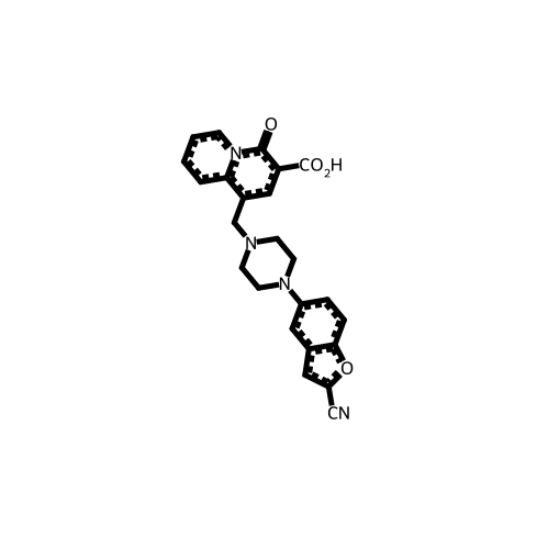 N#Cc1cc2cc(N3CCN(Cc4cc(C(=O)O)c(=O)n5ccccc45)CC3)ccc2o1